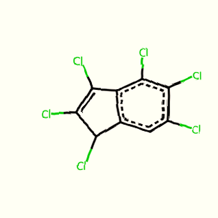 ClC1=C(Cl)C(Cl)c2cc(Cl)c(Cl)c(Cl)c21